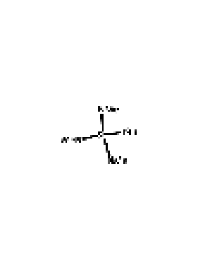 CN[Si](NC)(NC)C(C)(C)C